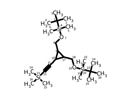 CC(C)(C)[Si](C)(C)OCC1C(C#C[Si](C)(C)C)C1CO[Si](C)(C)C(C)(C)C